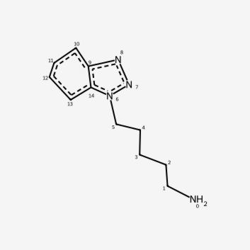 NCCCCCn1nnc2ccccc21